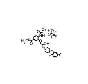 COC(=O)c1ccc(NC(C)=O)c(OC[C@@H](O)CN2CCC3(CC2)Cc2cc(Cl)ccc2O3)c1.O=C(O)C(F)(F)F